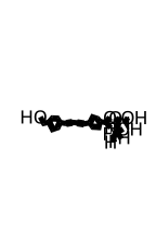 CC(O)(C(F)F)[C@H](NC(=O)c1ccc(C#CC#Cc2ccc(CO)cc2)cc1)C(=O)NO